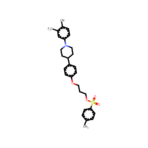 Cc1ccc(S(=O)(=O)OCCCOc2ccc(C3CCN(c4ccc(C#N)c(C(F)(F)F)c4)CC3)cc2)cc1